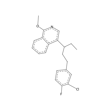 CC[C](CCc1ccc(F)c(Cl)c1)c1cnc(OC)c2ccccc12